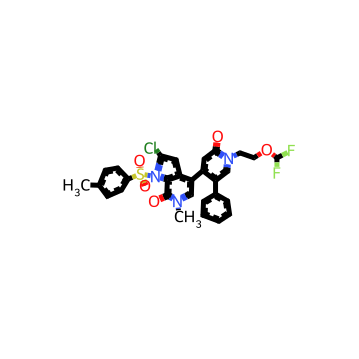 Cc1ccc(S(=O)(=O)n2c(Cl)cc3c(-c4cc(=O)n(CCOC(F)F)cc4-c4ccccc4)cn(C)c(=O)c32)cc1